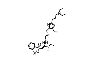 CCNC(=CS(=O)(=O)c1ccccc1Br)NCCSCc1nc(CCCN(CC)CC)sc1CC